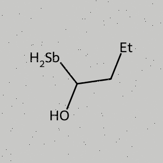 CCC[CH](O)[SbH2]